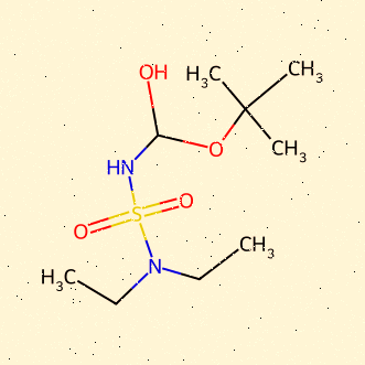 CCN(CC)S(=O)(=O)NC(O)OC(C)(C)C